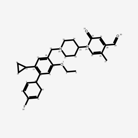 CCOc1cc(C2C=CC(F)=CC2)c(C2CC2)cc1CN1CCC(n2cc(C)c(C=O)cc2=O)CC1